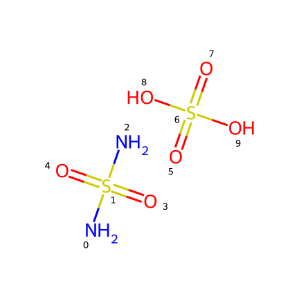 NS(N)(=O)=O.O=S(=O)(O)O